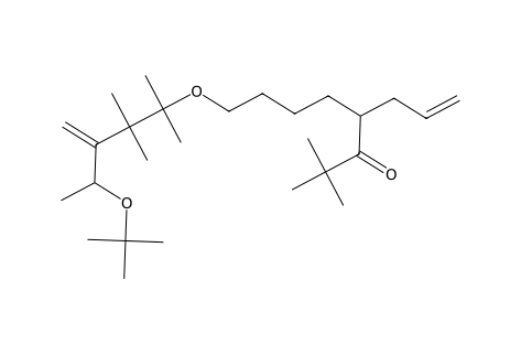 C=CCC(CCCCOC(C)(C)C(C)(C)C(=C)C(C)OC(C)(C)C)C(=O)C(C)(C)C